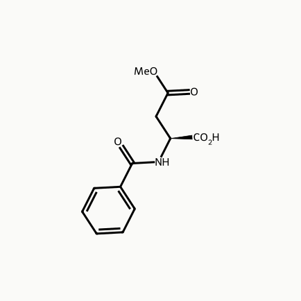 COC(=O)C[C@H](NC(=O)c1ccccc1)C(=O)O